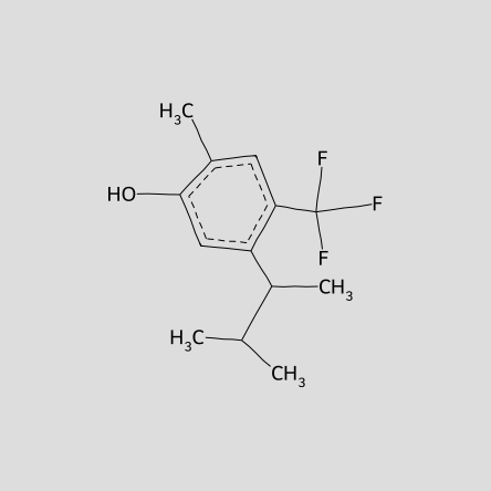 Cc1cc(C(F)(F)F)c(C(C)C(C)C)cc1O